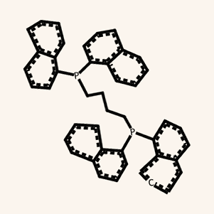 c1ccc2c(P(CCCCP(c3cccc4ccccc34)c3cccc4ccccc34)c3cccc4ccccc34)cccc2c1